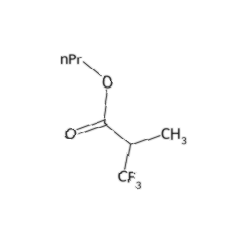 CCCOC(=O)C(C)C(F)(F)F